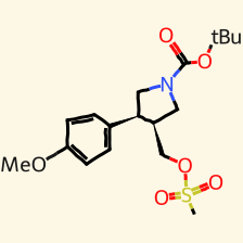 COc1ccc([C@H]2CN(C(=O)OC(C)(C)C)C[C@H]2COS(C)(=O)=O)cc1